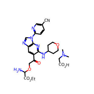 CCOC(=O)C(N)OCC(=O)c1cc2ncn(-c3ccc(C#N)cn3)c2nc1NC1CCOCC1.CN(C)CC(=O)O